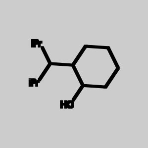 CC(C)C(C(C)C)C1CCCCC1O